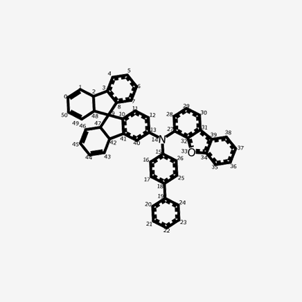 C1=CC2c3ccccc3C3(c4ccc(N(c5ccc(-c6ccccc6)cc5)c5cccc6c5oc5ccccc56)cc4C4C=CC=CC43)C2C=C1